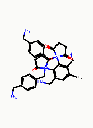 Cc1cc(CN)c([N+]2(Cc3ccc(CN)cc3)C(=O)CCC2=O)c([N+]2(Cc3ccc(CN)cc3)C(=O)CCC2=O)c1CN